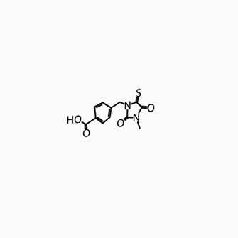 CN1C(=O)C(=S)N(Cc2ccc(C(=O)O)cc2)C1=O